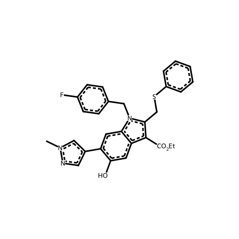 CCOC(=O)c1c(CSc2ccccc2)n(Cc2ccc(F)cc2)c2cc(-c3cnn(C)c3)c(O)cc12